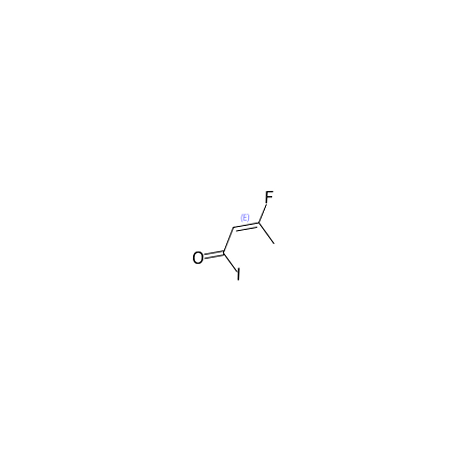 C/C(F)=C\C(=O)I